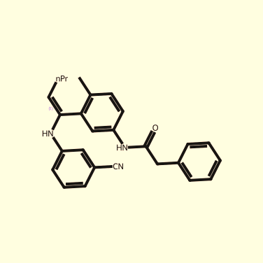 CCC/C=C(/Nc1cccc(C#N)c1)c1cc(NC(=O)Cc2ccccc2)ccc1C